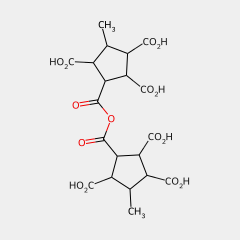 CC1C(C(=O)O)C(C(=O)O)C(C(=O)OC(=O)C2C(C(=O)O)C(C)C(C(=O)O)C2C(=O)O)C1C(=O)O